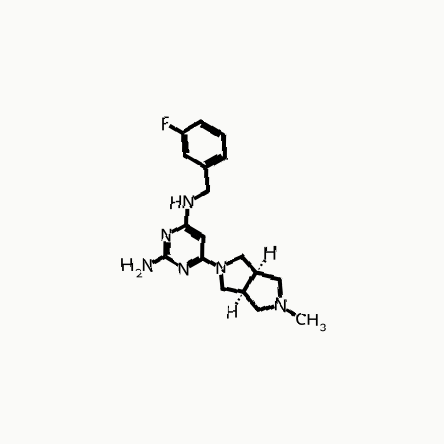 CN1C[C@@H]2CN(c3cc(NCc4cccc(F)c4)nc(N)n3)C[C@@H]2C1